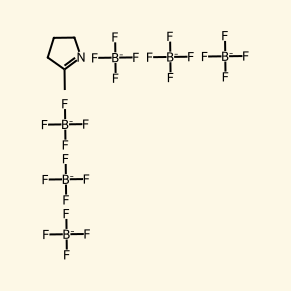 CC1=NCCC1.F[B-](F)(F)F.F[B-](F)(F)F.F[B-](F)(F)F.F[B-](F)(F)F.F[B-](F)(F)F.F[B-](F)(F)F